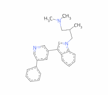 CC(CN(C)C)Cn1cc(-c2cncc(-c3ccccc3)c2)c2ccccc21